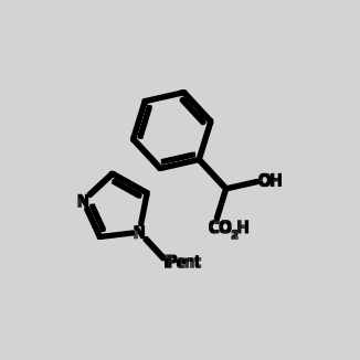 CCCC(C)n1ccnc1.O=C(O)C(O)c1ccccc1